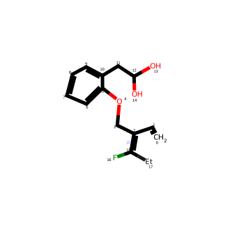 C=C/C(COc1ccccc1CC(O)O)=C(/F)CC